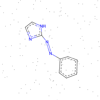 c1ccc(/N=N/c2ncc[nH]2)cc1